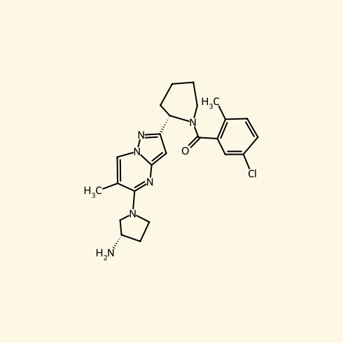 Cc1ccc(Cl)cc1C(=O)N1CCCC[C@H]1c1cc2nc(N3CC[C@H](N)C3)c(C)cn2n1